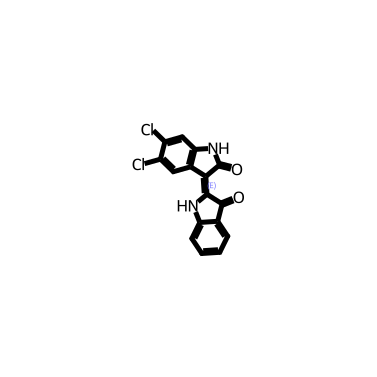 O=C1Nc2cc(Cl)c(Cl)cc2/C1=C1\Nc2ccccc2C1=O